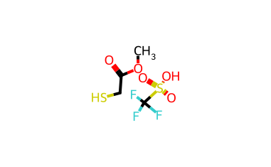 COC(=O)CS.O=S(=O)(O)C(F)(F)F